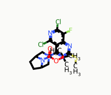 CSc1nc(N2CC3CCC(C2)N3C(=O)OC(C)(C)C)c2c(Cl)nc(Cl)c(F)c2n1